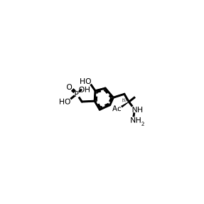 CC(=O)[C@](C)(Cc1ccc(CP(=O)(O)O)c(O)c1)NN